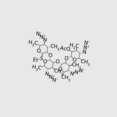 CCS[C@H]1OC(C)[C@@H](N=[N+]=[N-])[C@H](C)C1O[C@H]1OC(C)[C@@H](N=[N+]=[N-])[C@H](C)C1O[C@H]1OC(C)[C@@H](N=[N+]=[N-])[C@H](C)C1O[C@H]1OC(C)[C@@H](N=[N+]=[N-])[C@H](C)C1OC(C)=O